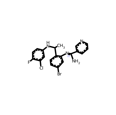 CC(Nc1ccc(F)c(Cl)c1)c1ccc(Br)cc1/N=C(\N)c1cccnc1